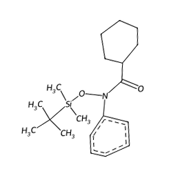 CC(C)(C)[Si](C)(C)ON(C(=O)C1CCCCC1)c1ccccc1